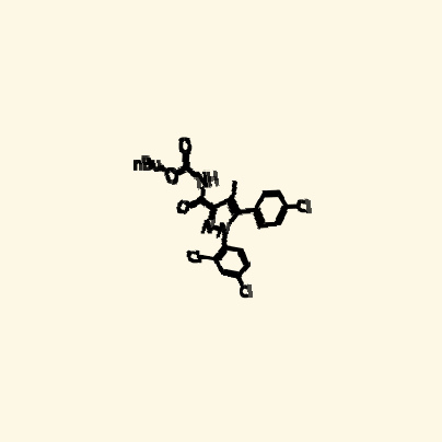 CCCCOC(=O)NC(=O)c1nn(-c2ccc(Cl)cc2Cl)c(-c2ccc(Cl)cc2)c1C